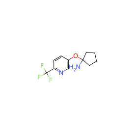 NC1(Oc2ccc(C(F)(F)F)nc2)CCCC1